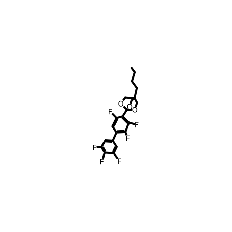 CCCCC12COC(c3c(F)cc(-c4cc(F)c(F)c(F)c4)c(F)c3F)(OC1)OC2